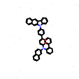 C1=CC(N(c2ccc(-c3ccc(-n4c5ccccc5c5cc6ccccc6cc54)cc3)cc2)c2ccc3ccccc3c2)=C(c2ccccc2)CC1